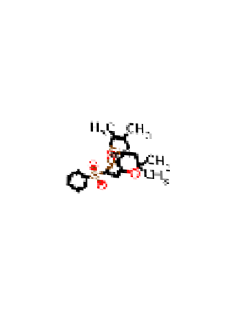 CC1=C(C)C[C@]2(CC(C)(C)Oc3cc(S(=O)(=O)c4ccccc4)sc32)[S@+]([O-])C1